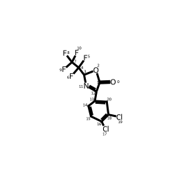 O=C1OC(C(F)(F)C(F)(F)F)N=C1c1ccc(Cl)c(Cl)c1